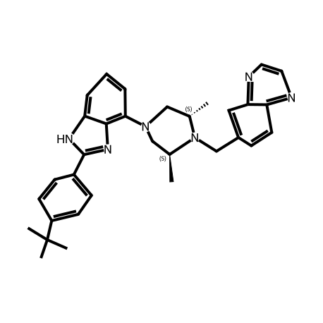 C[C@H]1CN(c2cccc3[nH]c(-c4ccc(C(C)(C)C)cc4)nc23)C[C@H](C)N1Cc1ccc2nccnc2c1